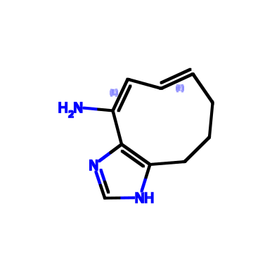 N/C1=C/C=C/CCCc2[nH]cnc21